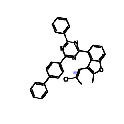 C/C(Cl)=C\c1c(C)oc2cccc(-c3nc(-c4ccccc4)nc(-c4ccc(-c5ccccc5)cc4)n3)c12